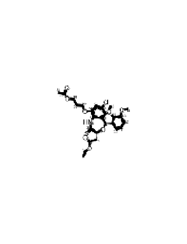 CCOC(=O)C[C@H]1O[C@H](c2cccc(OC)c2OC)c2cc(Cl)cc(OCCCOC(C)=O)c2NC1=S